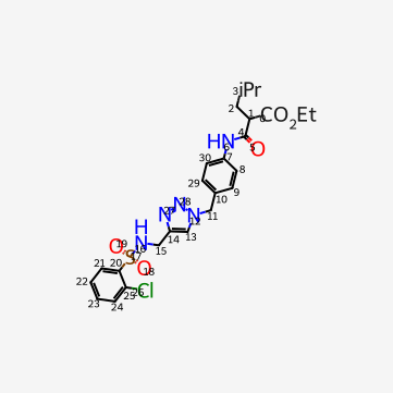 CCOC(=O)C(CC(C)C)C(=O)Nc1ccc(Cn2cc(CNS(=O)(=O)c3ccccc3Cl)nn2)cc1